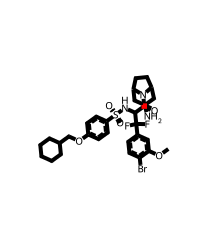 COc1cc(C(F)(F)C(NS(=O)(=O)c2ccc(OCC3CCCCC3)cc2)C(=O)N2C3CCC2CC(N)C3)ccc1Br